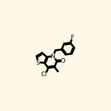 Cc1c(Cl)c2sccc2n(Cc2cccc(F)c2)c1=O